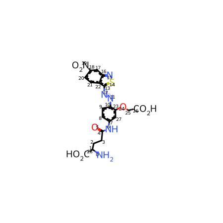 NC(CCC(=O)Nc1ccc(/N=N/c2snc3cc([N+](=O)[O-])ccc23)c(OCC(=O)O)c1)C(=O)O